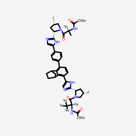 [2H]C([2H])([2H])[C@]([2H])(NC(=O)OC)C(=O)N1C[C@@H](F)C[C@H]1c1ncc(-c2ccc(-c3ccc(-c4cnc([C@@H]5C[C@H](F)CN5C(=O)[C@]([2H])(C)NC(=O)OC)[nH]4)cc3)c3c2C2CCC3C2)[nH]1